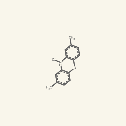 Cc1ccc2c(c1)[NH+]([O-])c1cc(C)ccc1O2